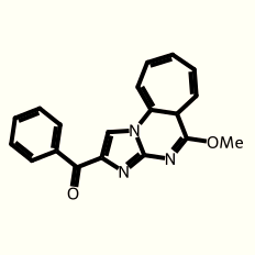 COC1=Nc2nc(C(=O)c3ccccc3)cn2C2=CC=CC=CC21